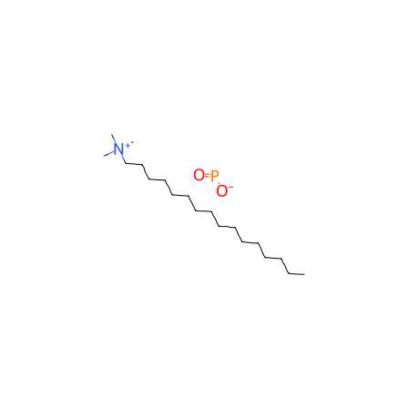 CCCCCCCCCCCCCCCC[N+](C)(C)C.O=P[O-]